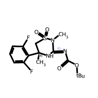 CN1/C(=N/C(=O)OC(C)(C)C)N[C@](C)(c2c(F)cccc2F)CS1(=O)=O